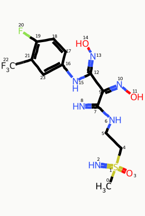 CS(=N)(=O)CCNC(=N)C(=N\O)/C(=N/O)Nc1ccc(F)c(C(F)(F)F)c1